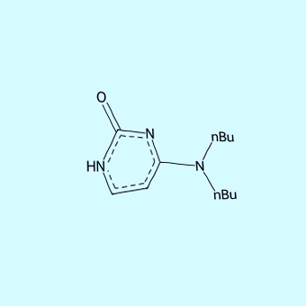 CCCCN(CCCC)c1cc[nH]c(=O)n1